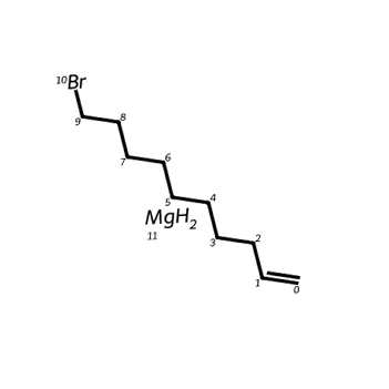 C=CCCCCCCCCBr.[MgH2]